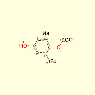 CC(C)(C)c1cc(O)ccc1OC(=O)[O-].[Na+]